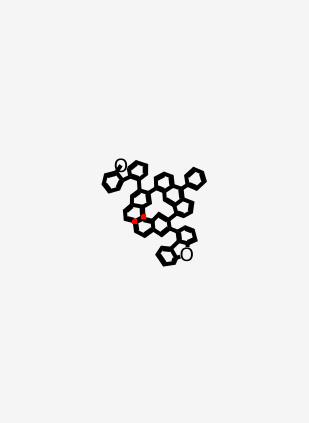 c1ccc(-c2c3cccc(-c4cc5ccccc5cc4-c4cccc5oc6ccccc6c45)c3cc3c(-c4cc5ccccc5cc4-c4cccc5oc6ccccc6c45)cccc23)cc1